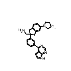 C[C@H]1CCN(c2ccc3c(c2)CC(CN)(c2cccc(-c4ncnc5[nH]ccc45)c2)C3)C1